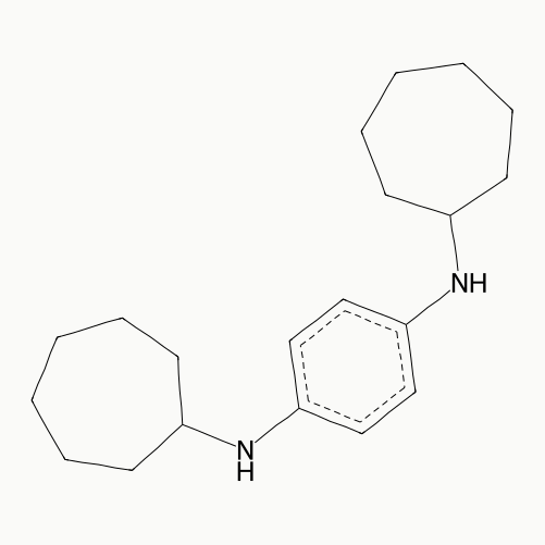 c1cc(NC2CCCCCC2)ccc1NC1CCCCCC1